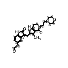 Cc1c(C=C2C(=O)Nc3ccc(NC=O)cc32)[nH]c2c1C(=O)N(CCN1CCOCC1)CC2